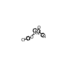 O=c1cc(-c2ccncc2)nc2n1CCCN2CCOc1ccc(Cl)cc1